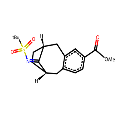 COC(=O)c1ccc2c(c1)C[C@H]1CC[C@@H](C2)/C1=N/S(=O)(=O)C(C)(C)C